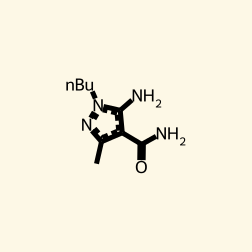 CCCCn1nc(C)c(C(N)=O)c1N